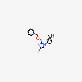 C[C@H]1CC2(n3cc(I)nc3COCc3ccccc3)CC1C2